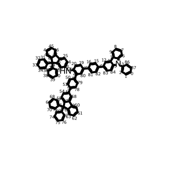 c1ccc(-n2c3ccccc3c3cc(-c4ccc(-c5ccc(Nc6ccc7c(c6)C(c6ccccc6)(c6ccccc6)c6ccccc6-7)c(-c6ccc(-c7ccc8c(c7)-c7ccccc7C8(c7ccccc7)c7ccccc7)cc6)c5)cc4)ccc32)cc1